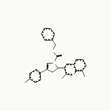 Cc1ccc(C2=CN(C(=S)NCc3ccccc3)C(c3cc4cccc(C)c4nc3Cl)C2)cc1